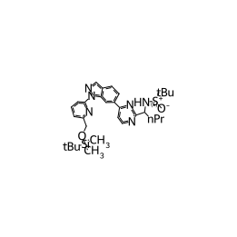 CCCC(N[S@+]([O-])C(C)(C)C)c1nccc(-c2ccc3cnn(-c4cccc(CO[Si](C)(C)C(C)(C)C)n4)c3c2)n1